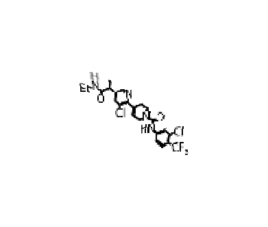 CCNC(=O)C(C)c1cnc(C2=CCN(C(=O)Nc3ccc(C(F)(F)F)c(Cl)c3)CC2)c(Cl)c1